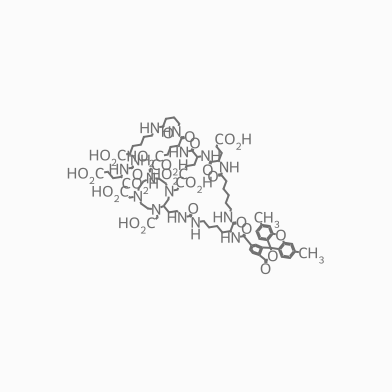 Cc1ccc2c(c1)Oc1cc(C)ccc1C21OC(=O)c2ccc(C(=O)NC(CCCCNC(=O)NCCC3CN(CC(=O)O)CCN(CC(=O)O)CCN(CC(=O)O)CCN3CC(=O)O)C(=O)NCCCCCC(=O)NC(CCC(=O)O)C(=O)NC(CCC(=O)O)C(=O)NC(CCC(=O)O)C(=O)NCCCC(=O)NCCCCC(NC(=O)NC(CCC(=O)O)C(=O)O)C(=O)O)cc21